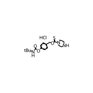 CC(C)(C)NC(=O)Oc1ccc(COC(=S)N2CCNCC2)cc1.Cl